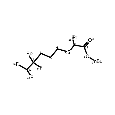 CCCCOC(=O)C(SCCCC(F)(F)C(F)F)C(C)C